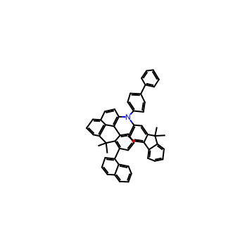 CC1(C)c2ccccc2-c2ccc(N(c3ccc(-c4ccccc4)cc3)c3ccc4cccc5c4c3-c3cccc(-c4cccc6ccccc46)c3C5(C)C)cc21